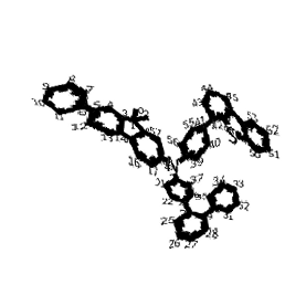 CC1(C)c2cc(-c3ccccc3)ccc2-c2ccc(N(c3ccc(-c4ccccc4-c4ccccc4)cc3)c3ccc(-c4cccc5c4sc4ccccc45)cc3)cc21